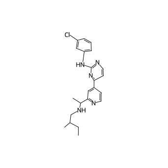 CCC(C)CNC(C)c1cc(-c2ccnc(Nc3cccc(Cl)c3)n2)ccn1